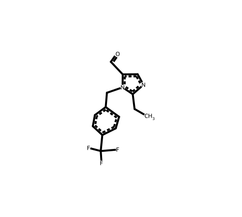 CCc1ncc(C=O)n1Cc1ccc(C(F)(F)F)cc1